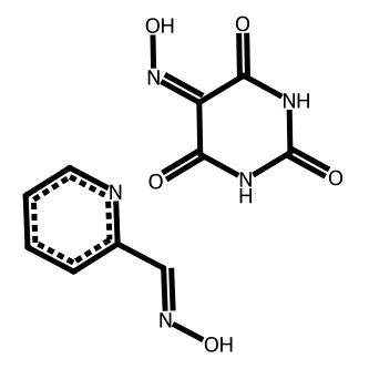 O=C1NC(=O)C(=NO)C(=O)N1.ON=Cc1ccccn1